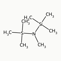 CN([Si](C)(C)C)S(C)(C)C